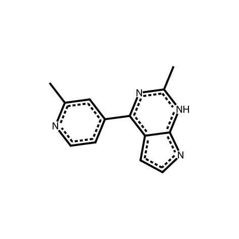 Cc1cc(-c2nc(C)[nH]c3nccc2-3)ccn1